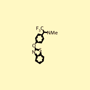 CNC(c1ccc(Oc2nc3ccccc3s2)cc1)C(F)(F)F